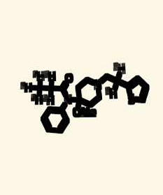 [2H]C([2H])(CN1CCC(OC)(N(C(=O)C([2H])([2H])C([2H])([2H])[2H])c2ccccc2)CC1)c1cccs1